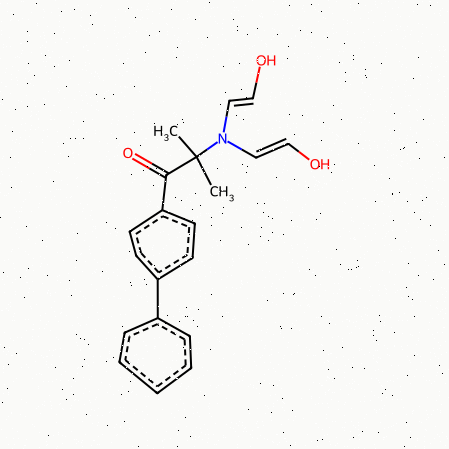 CC(C)(C(=O)c1ccc(-c2ccccc2)cc1)N(C=CO)C=CO